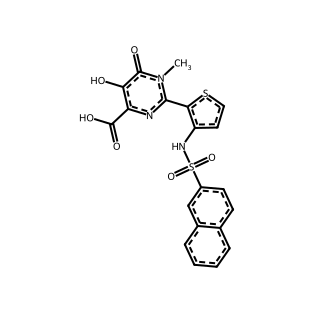 Cn1c(-c2sccc2NS(=O)(=O)c2ccc3ccccc3c2)nc(C(=O)O)c(O)c1=O